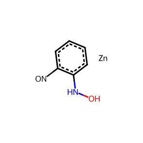 O=Nc1ccccc1NO.[Zn]